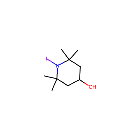 CC1(C)CC(O)CC(C)(C)N1I